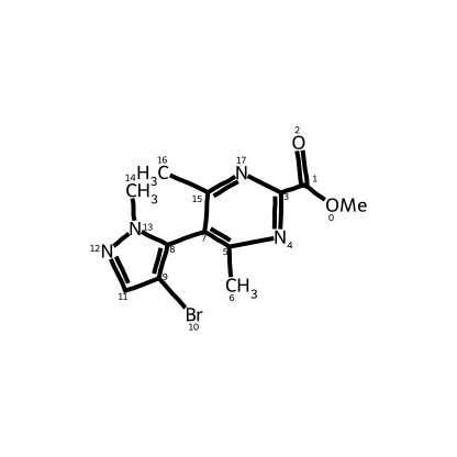 COC(=O)c1nc(C)c(-c2c(Br)cnn2C)c(C)n1